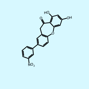 O=C1Cc2cc(-c3cccc([N+](=O)[O-])c3)ccc2Oc2cc(O)cc(O)c21